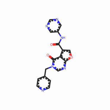 O=C(Nc1cncnc1)c1coc2ncn(Cc3ccncc3)c(=O)c12